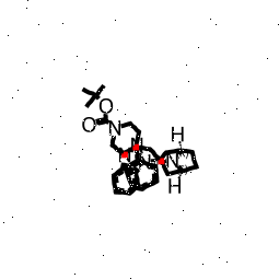 CC(C)(C)OC(=O)N1CCC(CCN2[C@@H]3CC[C@H]2C[C@@H](n2nnc4ccccc42)C3)(c2ccccc2)CC1